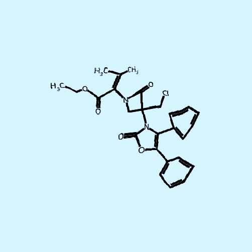 CCOC(=O)C(=C(C)C)N1CC(CCl)(n2c(-c3ccccc3)c(-c3ccccc3)oc2=O)C1=O